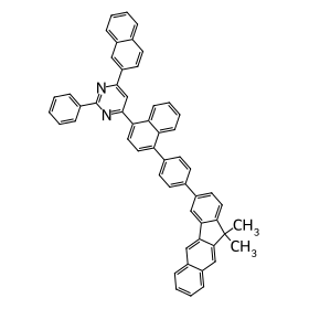 CC1(C)c2ccc(-c3ccc(-c4ccc(-c5cc(-c6ccc7ccccc7c6)nc(-c6ccccc6)n5)c5ccccc45)cc3)cc2-c2cc3ccccc3cc21